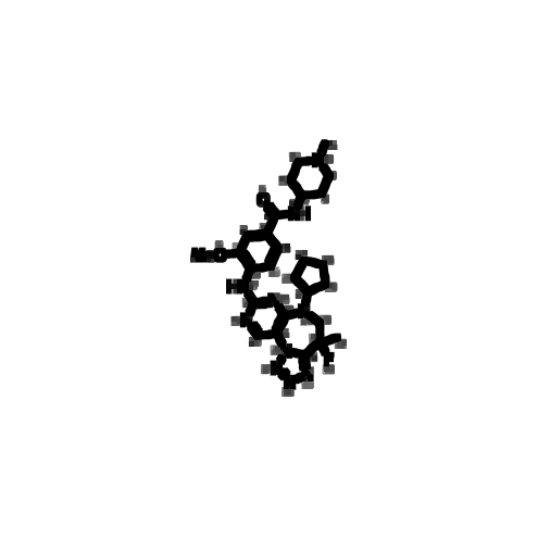 COc1cc(C(=O)NC2CCN(C)CC2)ccc1Nc1ncc2c(n1)N(C1CCCC1)CC(C)(F)c1nnnn1-2